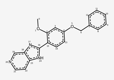 COc1cc(OCc2ccccc2)ccc1-c1nc2cnccc2[nH]1